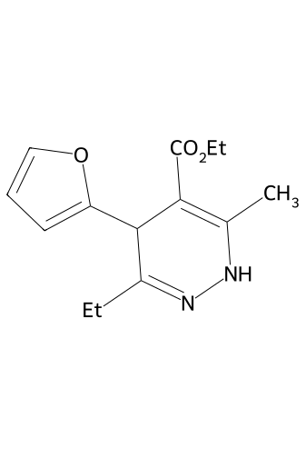 CCOC(=O)C1=C(C)NN=C(CC)C1c1ccco1